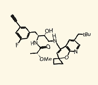 C#Cc1cc(F)cc(C[C@H](NC(=O)[C@@H](C)OC)[C@H](O)CNC2=CC3(CCC3)Oc3ncc(CC(C)(C)C)cc32)c1